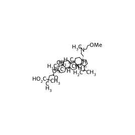 C=C(C)[C@@H]1CC[C@]2(CCN(C)CCOC)CC[C@]3(C)[C@H](CC[C@@H]4[C@@]5(C)CC[C@H](OC(=O)CC(C)(C)C(=O)O)C(C)(C)[C@@H]5CC[C@]43C)[C@@H]12